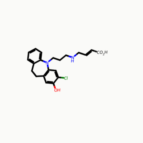 O=C(O)/C=C/CNCCCN1c2ccccc2CCc2cc(O)c(Cl)cc21